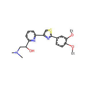 CCOc1ccc(-c2nc(-c3cccc(C(O)CN(C)C)n3)cs2)cc1OCC